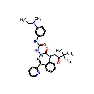 CCN(C)c1cccc(NC(=O)N[C@@H]2N=C(c3ccccn3)c3ccccc3N(CC(=O)C(C)(C)C)C2=O)c1